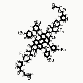 CC(C)(C)c1ccc(Oc2cc3c4c(cc(Oc5ccc(C(C)(C)C)cc5)c5c6c(Oc7ccc(C(C)(C)C)cc7)cc7c8c(cc(Oc9ccc(C(C)(C)C)cc9)c(c2c45)c86)C(=O)N(C(CC(F)(F)F)C(=O)N2CCN(c4cncc(C(=O)OCC5CO5)c4)CC2)C7=O)C(=O)N(C(CC(F)(F)F)C(=O)N2CCN(c4cncc(C(=O)OCC5CO5)c4)CC2)C3=O)cc1